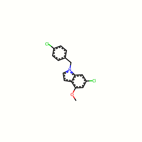 COc1cc(Cl)cc2c1ccn2Cc1ccc(Cl)cc1